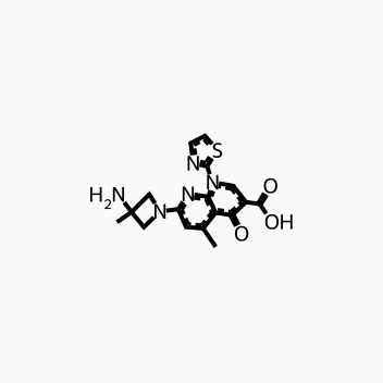 Cc1cc(N2CC(C)(N)C2)nc2c1c(=O)c(C(=O)O)cn2-c1nccs1